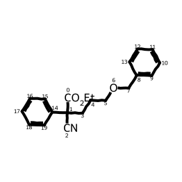 CCOC(=O)C(C#N)(CCCOCc1ccccc1)c1ccccc1